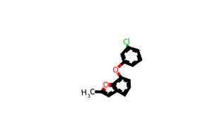 Cc1cc2cccc(Oc3cc[c]c(Cl)c3)c2o1